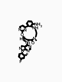 CN1CCCNc2c(N)cccc2-c2ccnc(n2)O[C@H]2C[C@@H](C1=O)N(c1ncnc3c1cnn3-c1ccc(F)cc1F)C2